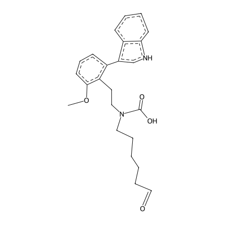 COc1cccc(-c2c[nH]c3ccccc23)c1CCN(CCCCCC=O)C(=O)O